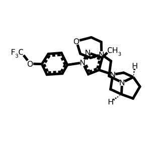 Cc1nn(-c2ccc(OC(F)(F)F)cc2)cc1N1C[C@H]2CC[C@@H](C1)N2CCN1CCOCC1